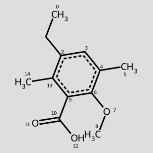 CCc1cc(C)c(OC)c(C(=O)O)c1C